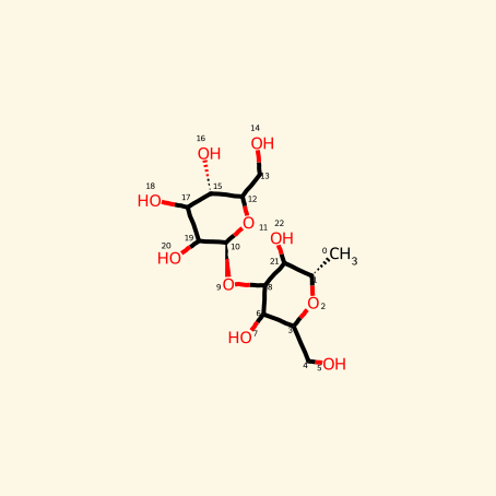 C[C@@H]1OC(CO)C(O)C(O[C@@H]2OC(CO)[C@@H](O)C(O)C2O)C1O